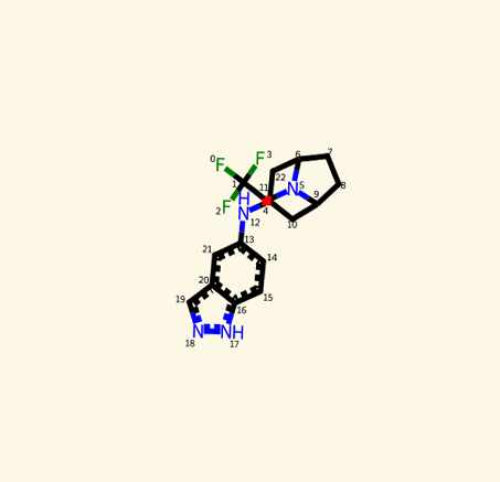 FC(F)(F)CN1C2CCC1CC(Nc1ccc3[nH]ncc3c1)C2